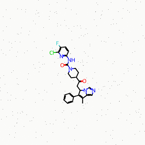 CC1=C(c2ccccc2)C(CC(=O)C2CCN(C(=O)Nc3ccc(F)c(Cl)n3)CC2)n2cncc21